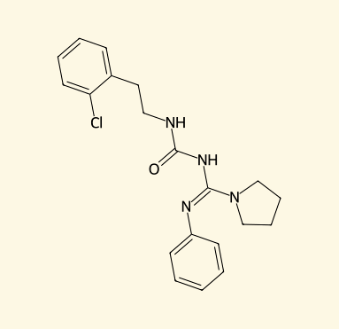 O=C(NCCc1ccccc1Cl)NC(=Nc1ccccc1)N1CCCC1